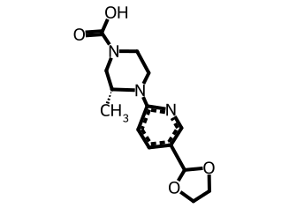 C[C@@H]1CN(C(=O)O)CCN1c1ccc(C2OCCO2)cn1